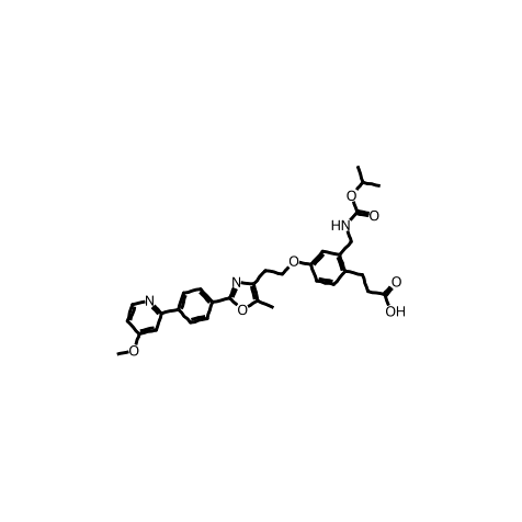 COc1ccnc(-c2ccc(-c3nc(CCOc4ccc(CCC(=O)O)c(CNC(=O)OC(C)C)c4)c(C)o3)cc2)c1